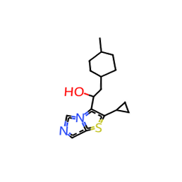 CC1CCC(CC(O)c2c(C3CC3)sc3cncn23)CC1